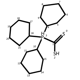 S=C(S)[PH](C1CCCCC1)(C1CCCCC1)C1CCCCC1